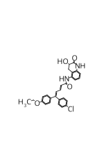 CCOc1ccc(C(=CC=CC(=O)Nc2cccc3c2CC(O)C(=O)N3)c2ccc(Cl)cc2)cc1